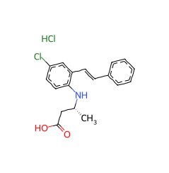 C[C@H](CC(=O)O)Nc1ccc(Cl)cc1C=Cc1ccccc1.Cl